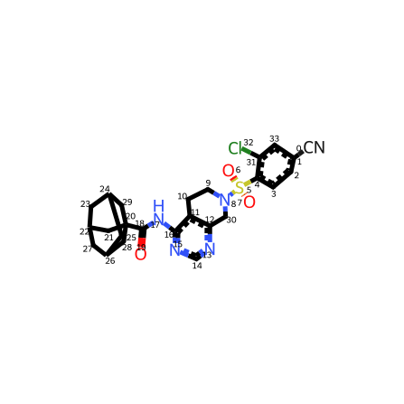 N#Cc1ccc(S(=O)(=O)N2CCc3c(ncnc3NC(=O)C34CC5CC(CC(C5)C3)C4)C2)c(Cl)c1